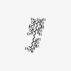 CCOP(=O)(OCC)C(C)CCC(CCCCC(C(CCC(C(CC)P(=O)(OCC)OCC)P(=O)(OCC)OCC)P(=O)(OCC)OCC)P(=O)(OCC)OCC)P(=O)(OCC)OCC